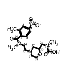 Cc1cc([N+](=O)[O-])ccc1C(=O)N(C)CCN1CCOC(CN(C)C(=O)O)C1